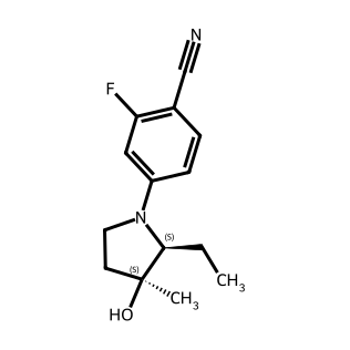 CC[C@@H]1N(c2ccc(C#N)c(F)c2)CC[C@]1(C)O